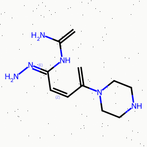 C=C(N)NC(/C=C\C(=C)N1CCNCC1)=N/N